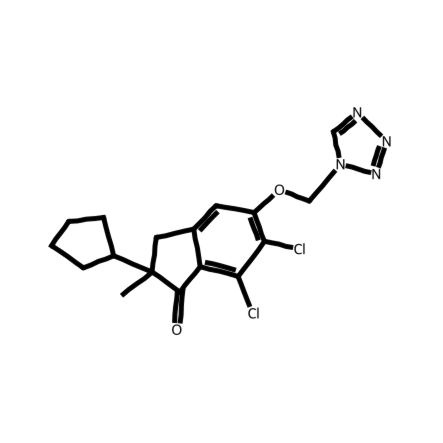 CC1(C2CCCC2)Cc2cc(OCn3cnnn3)c(Cl)c(Cl)c2C1=O